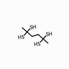 CC(S)(S)CCC(C)(S)S